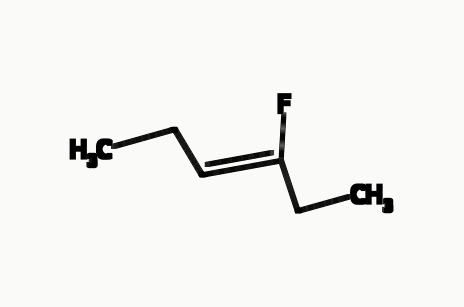 CCC=C(F)CC